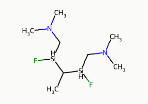 CC([SiH](F)CN(C)C)[SiH](F)CN(C)C